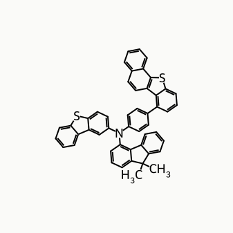 CC1(C)c2ccccc2-c2c(N(c3ccc(-c4cccc5sc6c7ccccc7ccc6c45)cc3)c3ccc4sc5ccccc5c4c3)cccc21